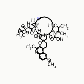 COc1ccc2nc(C)c3c(c2c1)CC[C@]1(C[C@H]2C(=O)N[C@]4(C(=O)NS(=O)(=O)C5(C)CC5)C[C@H]4/C=C\CCCCC[C@H](N(C(=O)O)[C@H](C)C(C)C)C(=O)N2C1)O3